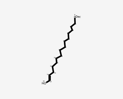 CCCCCCCCCCCCCCCCCCCCCCCC=CO